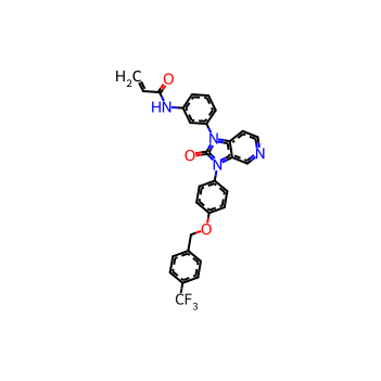 C=CC(=O)Nc1cccc(-n2c(=O)n(-c3ccc(OCc4ccc(C(F)(F)F)cc4)cc3)c3cnccc32)c1